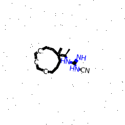 C[C@@H](NC(=N)NC#N)C1(C)CCCCCCCCCC1